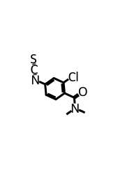 CN(C)C(=O)c1ccc(N=C=S)cc1Cl